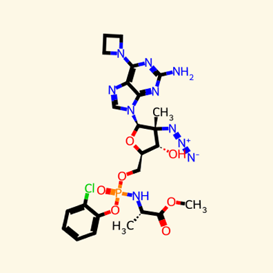 COC(=O)[C@H](C)NP(=O)(OC[C@H]1O[C@@H](n2cnc3c(N4CCC4)nc(N)nc32)[C@](C)(N=[N+]=[N-])[C@@H]1O)Oc1ccccc1Cl